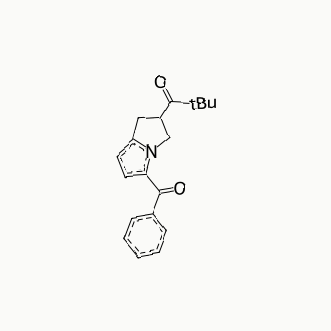 CC(C)(C)C(=O)C1Cc2ccc(C(=O)c3ccccc3)n2C1